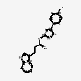 O=C(CCc1c[nH]c2ccccc12)Nc1nc(-c2ccc(F)cc2)cs1